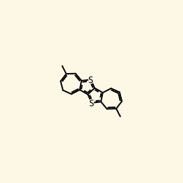 CC1=CCC=c2c(sc3c4c(sc23)C=C(C)C=C=C4)=C1